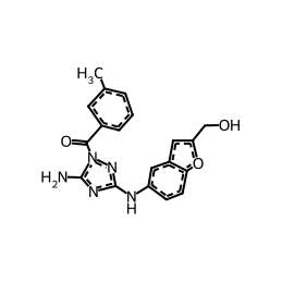 Cc1cccc(C(=O)n2nc(Nc3ccc4oc(CO)cc4c3)nc2N)c1